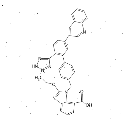 CCOc1nc2cccc(C(=O)O)c2n1Cc1ccc(-c2cc(-c3cnc4ccccc4c3)ccc2-c2nn[nH]n2)cc1